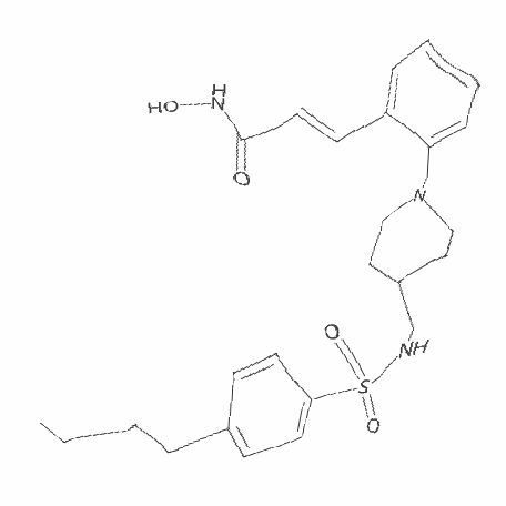 CCCCc1ccc(S(=O)(=O)NC2CCN(c3ccccc3C=CC(=O)NO)CC2)cc1